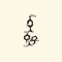 COCc1ccc(C(=O)Nc2ccc(F)c([C@]34CCC[C@H]3CSC(N)=N4)c2)nc1